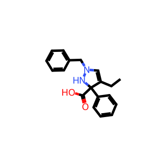 CCC1=CN(Cc2ccccc2)NC1(C(=O)O)c1ccccc1